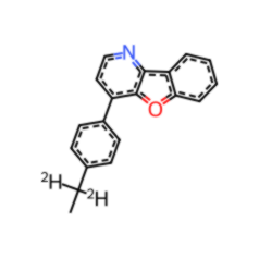 [2H]C([2H])(C)c1ccc(-c2ccnc3c2oc2ccccc23)cc1